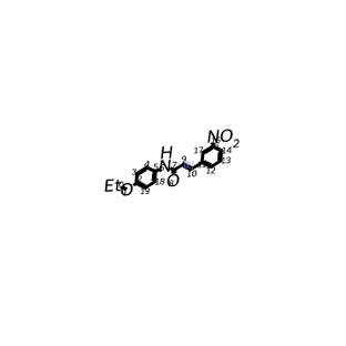 CCOc1ccc(NC(=O)/C=C/c2cccc([N+](=O)[O-])c2)cc1